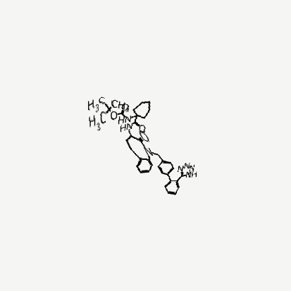 CC(C)(C)OC(=O)NC1(C(=O)NC2CCc3ccccc3N(Cc3ccc(-c4ccccc4-c4nnn[nH]4)cc3)C2=O)CCCCC1